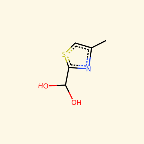 Cc1csc(C(O)O)n1